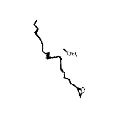 CCCCCCCCCCCCCCC1CO1.CO